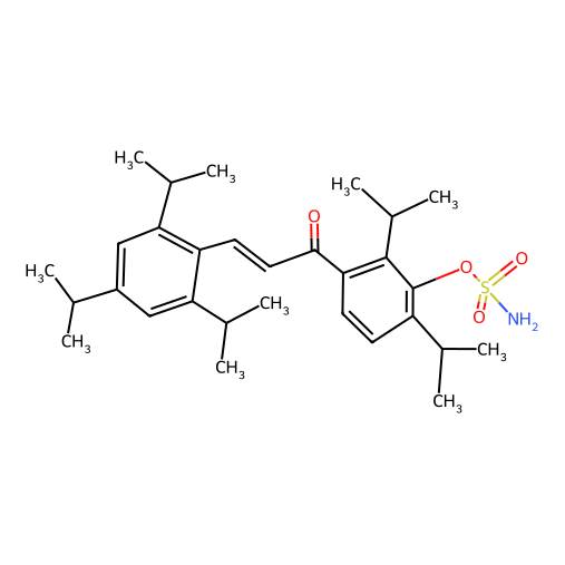 CC(C)c1cc(C(C)C)c(C=CC(=O)c2ccc(C(C)C)c(OS(N)(=O)=O)c2C(C)C)c(C(C)C)c1